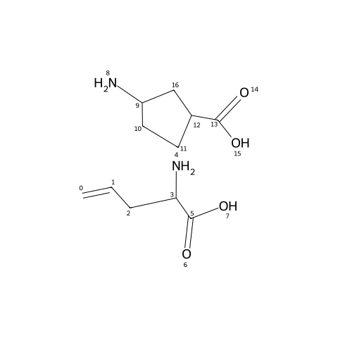 C=CCC(N)C(=O)O.NC1CCC(C(=O)O)C1